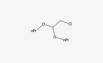 CCCOC(CCl)OCCC